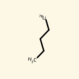 [78Li][CH2]CCC